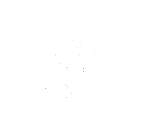 CC1=CC(=O)N2CC(=O)N(C)c3ccc(Cl)cc3C2(c2ccccc2Cl)O1